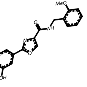 COc1ccccc1CNC(=O)c1coc(-c2cccc(O)c2)n1